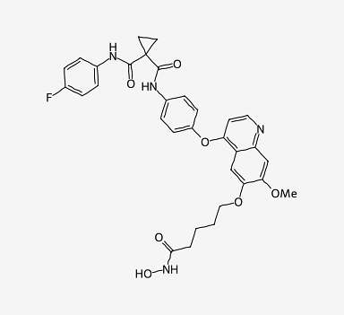 COc1cc2nccc(Oc3ccc(NC(=O)C4(C(=O)Nc5ccc(F)cc5)CC4)cc3)c2cc1OCCCCC(=O)NO